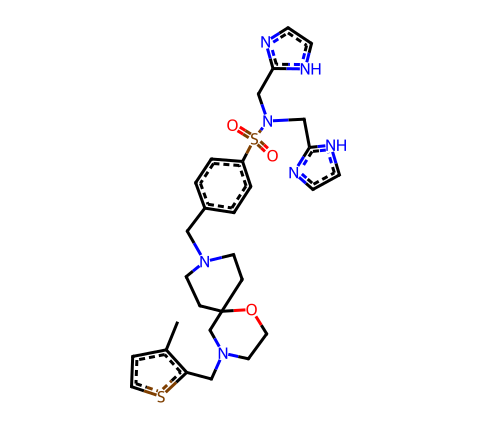 Cc1ccsc1CN1CCOC2(CCN(Cc3ccc(S(=O)(=O)N(Cc4ncc[nH]4)Cc4ncc[nH]4)cc3)CC2)C1